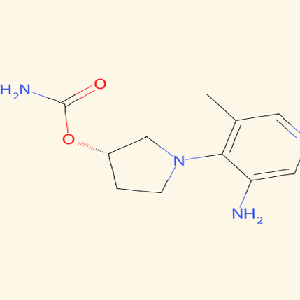 Cc1cncc(N)c1N1CC[C@H](OC(N)=O)C1